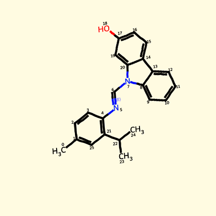 Cc1ccc(/N=C/n2c3ccccc3c3ccc(O)cc32)c(C(C)C)c1